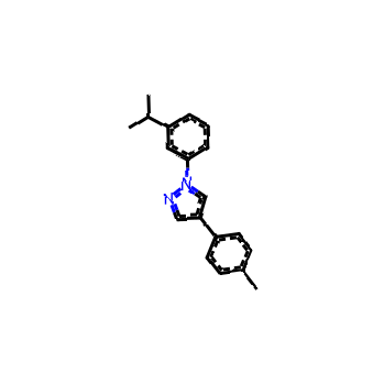 Cc1ccc(-c2cnn(-c3cccc(C(C)C)c3)c2)cc1